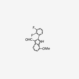 COc1cccc2c(C=O)c(-c3cccc(F)c3F)[nH]c12